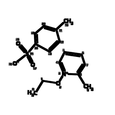 CCO[n+]1ccccc1C.Cc1ccc(S(=O)(=O)[O-])cc1